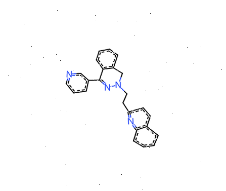 c1cncc(C2=NN(CCc3ccc4ccccc4n3)Cc3ccccc32)c1